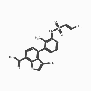 CC=CS(=O)(=O)Nc1cccc(-c2ccc(C(N)=O)c3[nH]cc(C)c23)c1C